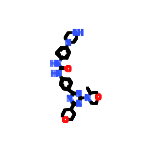 CC1COCCN1c1nc(-c2ccc(NC(=O)Nc3ccc(N4CCNCC4)cc3)cc2)nc(C2CCOCC2)n1